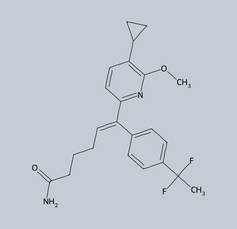 COc1nc(/C(=C/CCCC(N)=O)c2ccc(C(C)(F)F)cc2)ccc1C1CC1